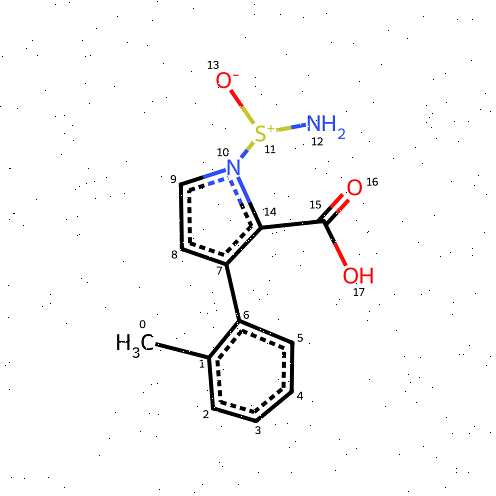 Cc1ccccc1-c1ccn([S+](N)[O-])c1C(=O)O